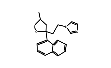 CC1CC(CCn2ccnc2)(c2cccc3ccccc23)OO1